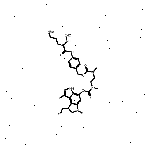 CNCCCC(NC=O)C(=O)Nc1ccc(COC(=O)N(C)CCN(C)C(=S)Oc2cc3c(c4c(C)c[nH]c24)C(CCl)CN3C)cc1